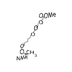 CN[C@H](C)c1cccc(OCCCCCCOCCOCCOCCC(=O)OC)c1